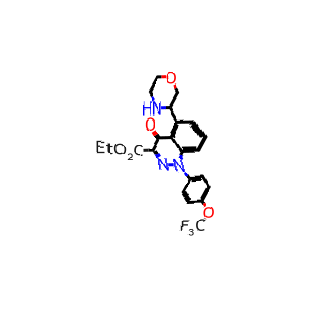 CCOC(=O)c1nn(-c2ccc(OC(F)(F)F)cc2)c2cccc(C3COCCN3)c2c1=O